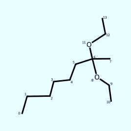 CCCCCCC(C)(OCC)OCC